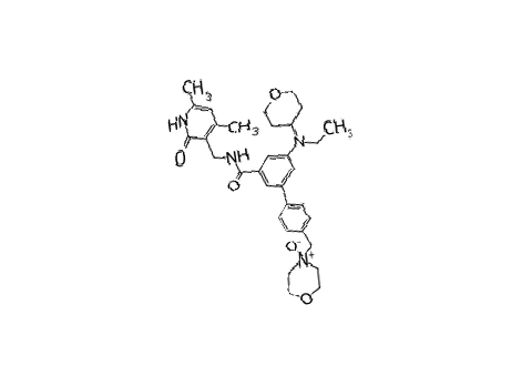 CCN(c1cc(C(=O)NCc2c(C)cc(C)[nH]c2=O)cc(-c2ccc(C[N+]3([O-])CCOCC3)cc2)c1)C1CCOCC1